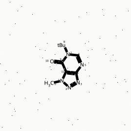 Cn1nnc2ncn(C(C)(C)C)c(=O)c21